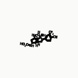 C[C@@]12[C@H]3C[C@H]([C@H](NC(=O)O)C3)[C@@H]1CN(c1ccc(C#N)c(C(F)(F)F)c1)S2(O)O